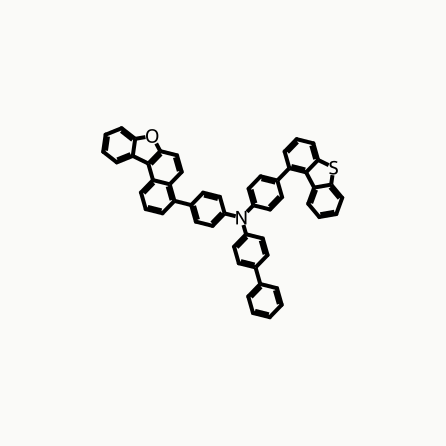 c1ccc(-c2ccc(N(c3ccc(-c4cccc5c4ccc4oc6ccccc6c45)cc3)c3ccc(-c4cccc5sc6ccccc6c45)cc3)cc2)cc1